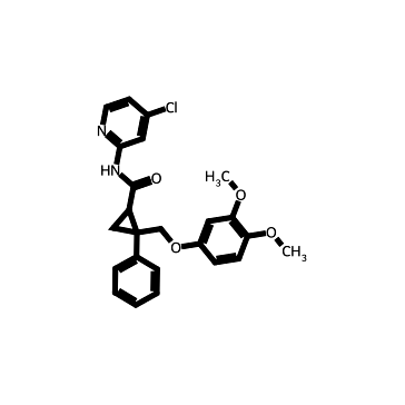 COc1ccc(OCC2(c3ccccc3)CC2C(=O)Nc2cc(Cl)ccn2)cc1OC